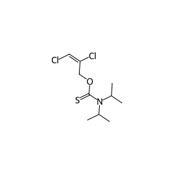 CC(C)N(C(=S)OC/C(Cl)=C\Cl)C(C)C